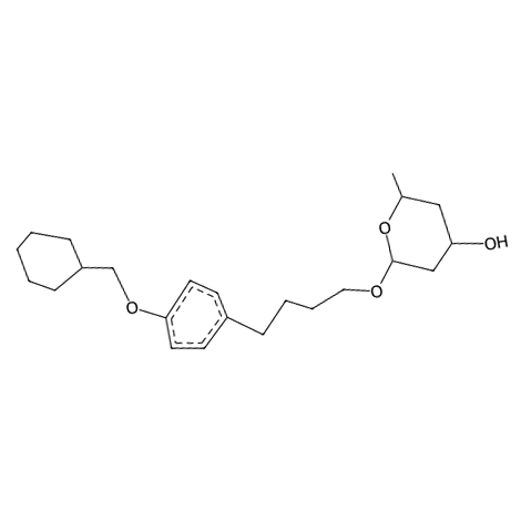 CC1CC(O)CC(OCCCCc2ccc(OCC3CCCCC3)cc2)O1